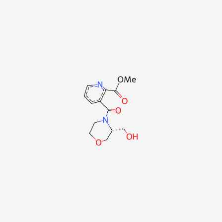 COC(=O)c1ncccc1C(=O)N1CCOC[C@H]1CO